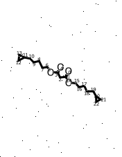 O=C(CC(=O)OCCCCCC1CC1)OCCCCCC1CC1